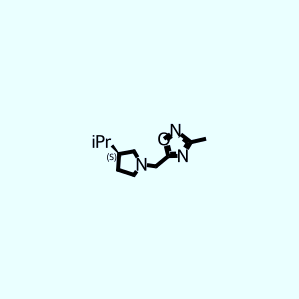 Cc1noc(CN2CC[C@@H](C(C)C)C2)n1